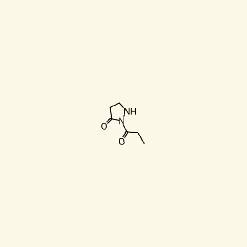 CCC(=O)N1NCCC1=O